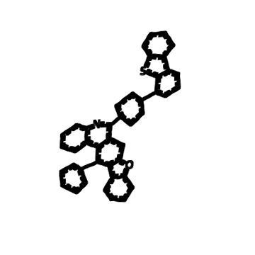 c1ccc(-c2c3c(cc4c(-c5ccc(-c6cccc7c6sc6ccccc67)cc5)nc5ccccc5c24)oc2ccccc23)cc1